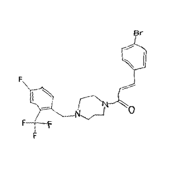 O=C(C=Cc1ccc(Br)cc1)N1CCN(Cc2ccc(F)cc2C(F)(F)F)CC1